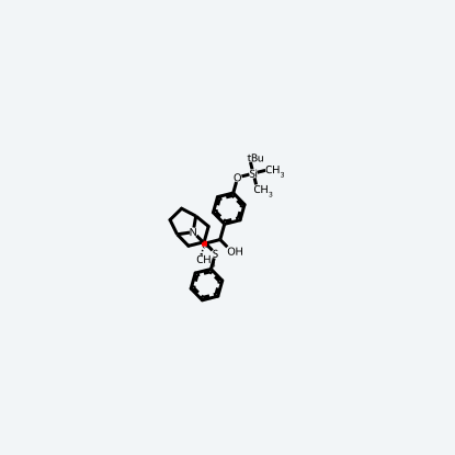 C[C@@H](C(O)c1ccc(O[Si](C)(C)C(C)(C)C)cc1)N1C2CCC1CC(Sc1ccccc1)C2